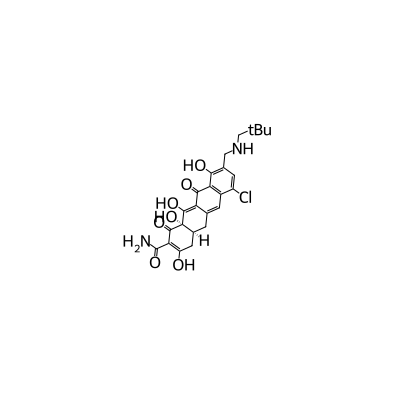 CC(C)(C)CNCc1cc(Cl)c2c(c1O)C(=O)C1=C(O)[C@]3(O)C(=O)C(C(N)=O)=C(O)C[C@@H]3CC1=C2